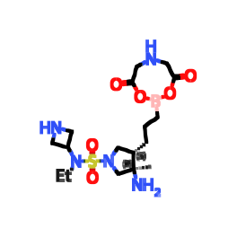 CCN(C1CNC1)S(=O)(=O)N1C[C@H](CCCB2OC(=O)CNCC(=O)O2)[C@@](C)(N)C1